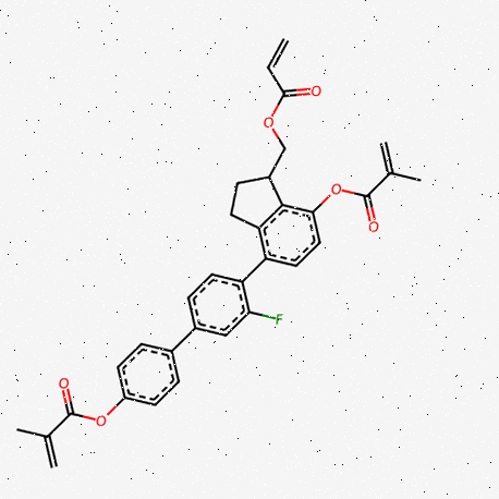 C=CC(=O)OCC1CCc2c(-c3ccc(-c4ccc(OC(=O)C(=C)C)cc4)cc3F)ccc(OC(=O)C(=C)C)c21